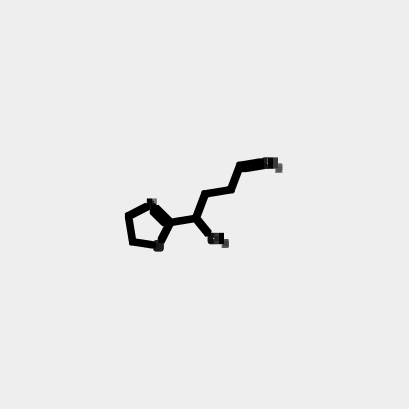 C=CCCC(C)C1=NCCO1